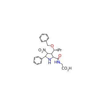 CC(C)[C@H](OCc1ccccc1)C1C(C(=O)NCC(=O)O)NC(c2ccccc2)C1[N+](=O)[O-]